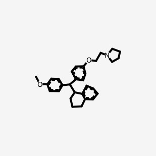 COc1ccc(C(c2ccc(OCCN3CCCC3)cc2)C2CCCc3ccccc32)cc1